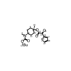 CN(C(=O)OC(C)(C)C)[C@H]1CC[C@](C)(OC(=O)C(=O)c2cccs2)CC1